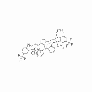 CCN1/C(=C/C=C2\CCC(/C=C/C3=Nc4ccc(C(F)(F)F)cc4C3(C)C)=C2N(c2ccccc2)c2ccccc2)C(C)(C)c2cc(C(F)(F)F)ccc21